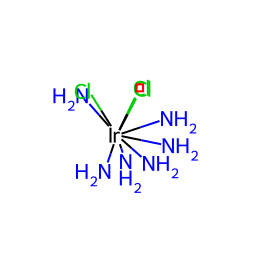 [NH2][Ir]([NH2])([NH2])([NH2])([NH2])([NH2])([Cl])([Cl])[Cl]